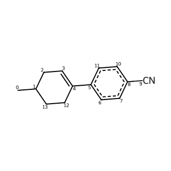 CC1CC=C(c2ccc(C#N)cc2)CC1